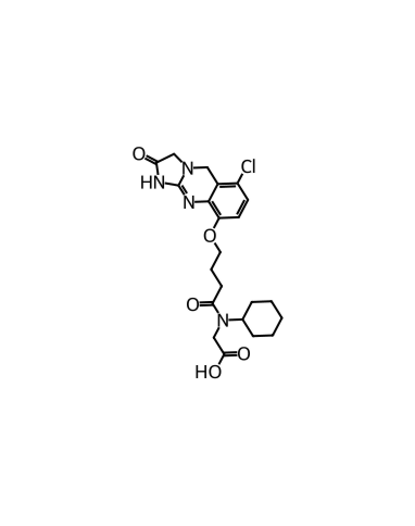 O=C(O)CN(C(=O)CCCOc1ccc(Cl)c2c1N=C1NC(=O)CN1C2)C1CCCCC1